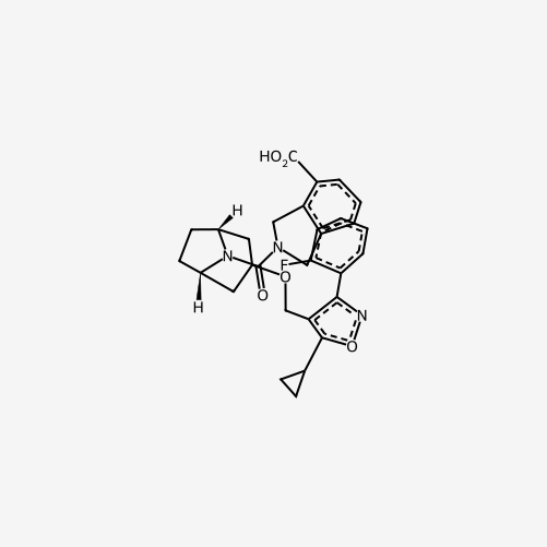 O=C(O)c1cccc2c1CN(C(=O)N1[C@@H]3CC[C@H]1CC(OCc1c(-c4ccccc4F)noc1C1CC1)C3)C2